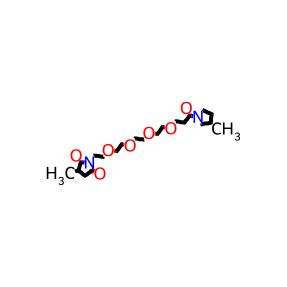 CC1CC(=O)N(CCOCCOCCOCCOCCC(=O)N2CC[C@H](C)C2)C1=O